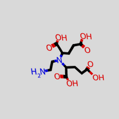 NCCN(C(CCC(=O)O)C(=O)O)C(CCC(=O)O)C(=O)O